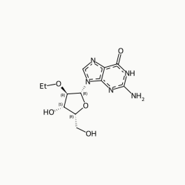 CCO[C@@H]1[C@@H](O)[C@@H](CO)O[C@H]1n1cnc2c(=O)[nH]c(N)nc21